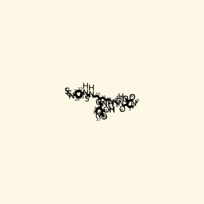 Cn1ccc(C(=O)NCCNCC(CCCCNC(=S)Nc2ccc(N=C=S)cc2)NC(=O)c2ccn(C)c(=O)c2O)c(O)c1=O